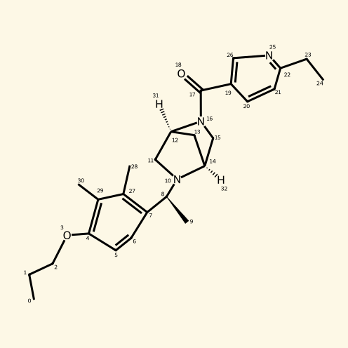 CCCOc1ccc([C@H](C)N2C[C@@H]3C[C@H]2CN3C(=O)c2ccc(CC)nc2)c(C)c1C